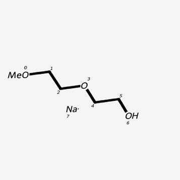 COCCOCCO.[Na]